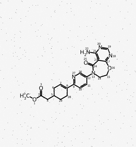 COC(=O)CC1CC=C(c2ccc(N3CCOc4ncnc(N)c4C3=O)cn2)CC1